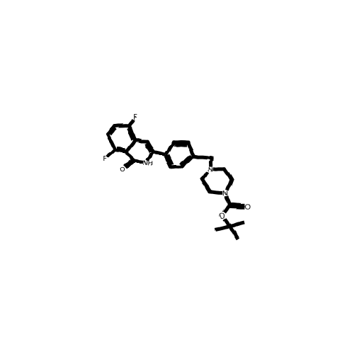 CC(C)(C)OC(=O)N1CCN(Cc2ccc(-c3cc4c(F)ccc(F)c4c(=O)[nH]3)cc2)CC1